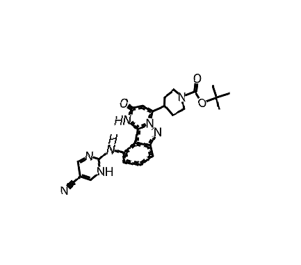 CC(C)(C)OC(=O)N1CCC(c2cc(=O)[nH]c3c4c(NC5N=CC(C#N)=CN5)cccc4nn23)CC1